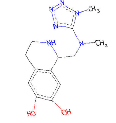 CN(CC1NCCc2cc(O)c(O)cc21)c1nnnn1C